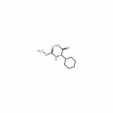 COC(=O)N[C@@H](C(=O)O)C1CCCCC1